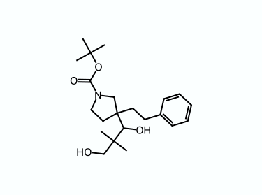 CC(C)(C)OC(=O)N1CCC(CCc2ccccc2)(C(O)C(C)(C)CO)C1